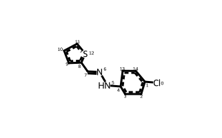 Clc1ccc(N/N=C/c2cccs2)cc1